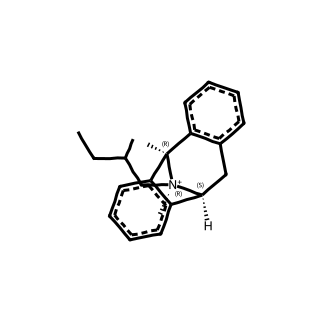 CCC(C)C[N@+]1(C)[C@H]2Cc3ccccc3[C@]1(C)c1ccccc12